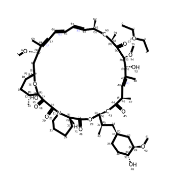 CCOCC.CO[C@H]1C[C@@H]2CC[C@@H](C)[C@@](O)(O2)C(=O)C(=O)N2CCCC[C@H]2C(=O)O[C@H]([C@H](C)C[C@@H]2CC[C@@H](O)[C@H](OC)C2)CC(=O)[C@H](C)/C=C(\C)[C@@H](O)[C@@H](OC)C(=O)[C@H](C)C[C@H](C)/C=C/C=C/C=C/1C